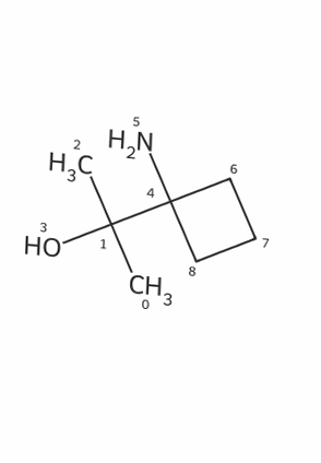 CC(C)(O)C1(N)CCC1